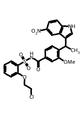 COc1cc(C(=O)NS(=O)(=O)c2ccccc2OCCCl)ccc1C(C)c1c[nH]c2ccc([N+](=O)[O-])cc12